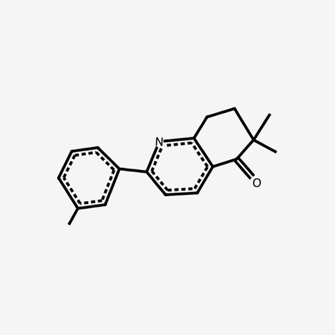 Cc1cccc(-c2ccc3c(n2)CCC(C)(C)C3=O)c1